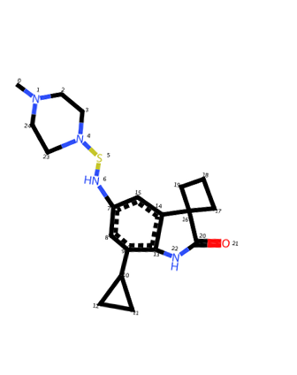 CN1CCN(SNc2cc(C3CC3)c3c(c2)C2(CCC2)C(=O)N3)CC1